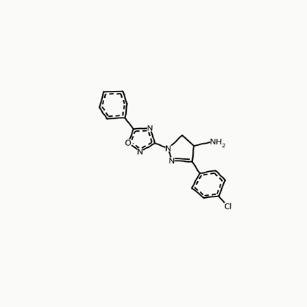 NC1CN(c2noc(-c3ccccc3)n2)N=C1c1ccc(Cl)cc1